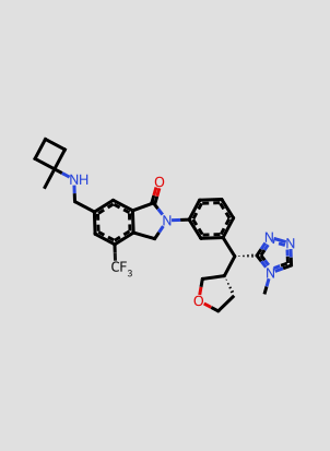 Cn1cnnc1[C@@H](c1cccc(N2Cc3c(cc(CNC4(C)CCC4)cc3C(F)(F)F)C2=O)c1)[C@@H]1CCOC1